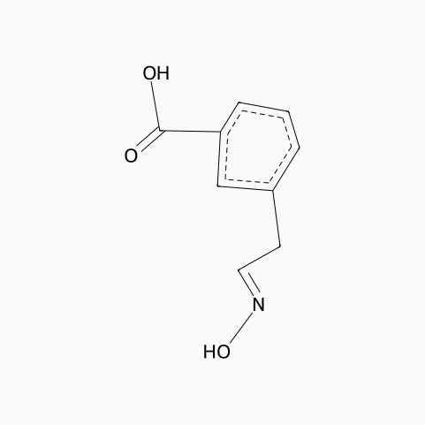 O=C(O)c1cccc(CC=NO)c1